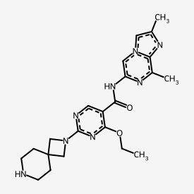 CCOc1nc(N2CC3(CCNCC3)C2)ncc1C(=O)Nc1cn2cc(C)nc2c(C)n1